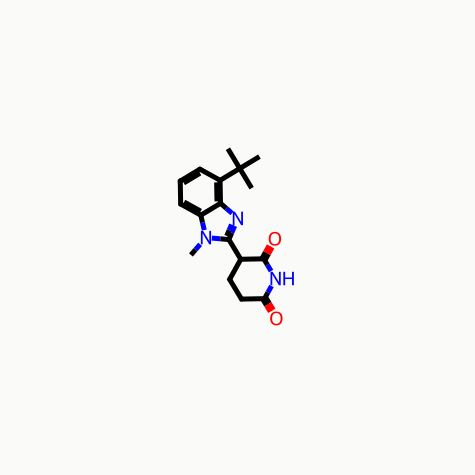 Cn1c(C2CCC(=O)NC2=O)nc2c(C(C)(C)C)cccc21